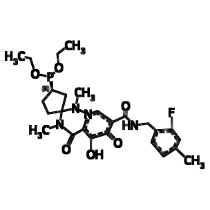 CCOP(OCC)[C@@H]1CCC2(C1)N(C)C(=O)c1c(O)c(=O)c(C(=O)NCc3ccc(C)cc3F)cn1N2C